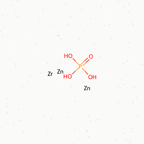 O=P(O)(O)O.[Zn].[Zn].[Zr]